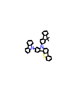 CC1(C)c2ccccc2-c2ccc(-n3c4cc(-n5c6ccccc6c6ccccc65)ccc4c4c5sc6ccccc6c5ccc43)cc21